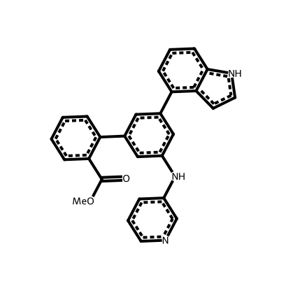 COC(=O)c1ccccc1-c1cc(Nc2cccnc2)cc(-c2cccc3[nH]ccc23)c1